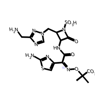 CC(C)(O/N=C(\C(=O)NC1C(=O)N(S(=O)(=O)O)C1Cn1cnc(CN)n1)c1csc(N)n1)C(=O)O